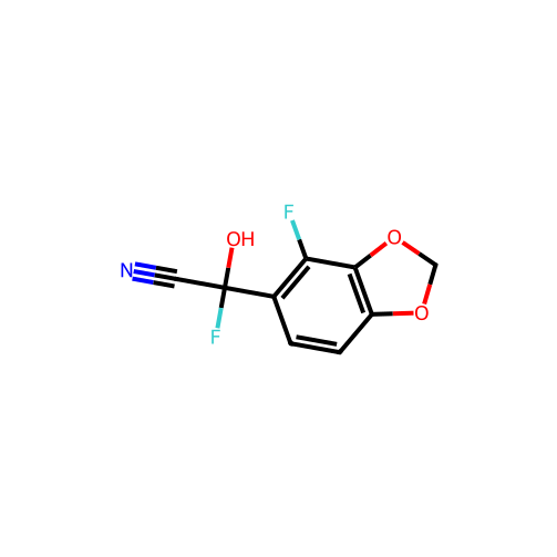 N#CC(O)(F)c1ccc2c(c1F)OCO2